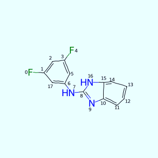 Fc1cc(F)cc(Nc2nc3ccccc3[nH]2)c1